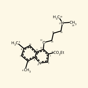 CCOC(=O)c1cnc2c(C)cc(C)cc2c1OCCCN(C)C